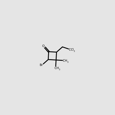 CC1(C)C(Br)C(=O)C1CC(Cl)(Cl)Cl